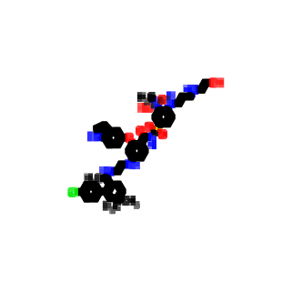 CC(NCCNc1ccc(C(=O)NS(=O)(=O)c2ccc(NCCCNCCO)c([N+](C)([O-])O)c2)c(Oc2ccc3[nH]ccc3c2)c1)C1=C(c2ccc(Cl)cc2)CC(C)(C)CC1